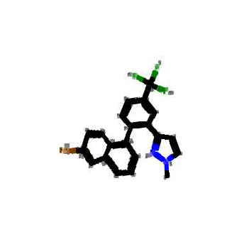 Cn1ccc(-c2cc(C(F)(F)F)ccc2-c2cccc3cc(S)ccc23)n1